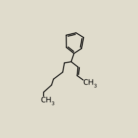 CC=CC(CCCCCC)c1ccccc1